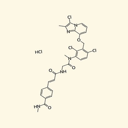 CNC(=O)c1ccc(C=CC(=O)NCC(=O)N(C)c2ccc(Cl)c(COc3cccn4c(Cl)c(C)nc34)c2Cl)cc1.Cl